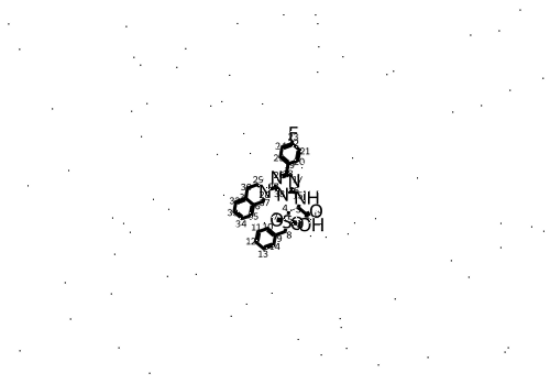 O=C(O)[C@H](CS(=O)(=O)Cc1ccccc1)Nc1nc(-c2ccc(F)cc2)nc(N2CCc3ccccc3C2)n1